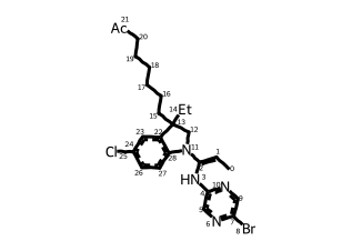 CC=C(Nc1cnc(Br)cn1)N1CC(CC)(CCCCCCC(C)=O)c2cc(Cl)ccc21